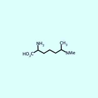 CNC(C)CCCC(N)C(=O)O